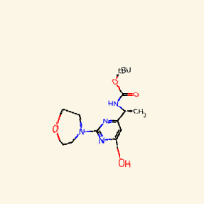 C[C@H](NC(=O)OC(C)(C)C)c1cc(O)nc(N2CCOCC2)n1